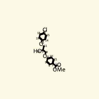 COC(=O)c1ccc(OCC(O)COc2ccc(Cl)cc2)cc1